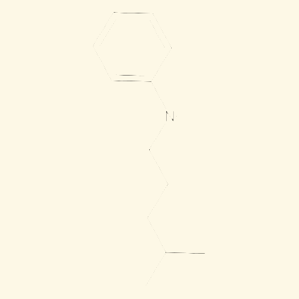 CC(C)CCC[N]c1ccccc1